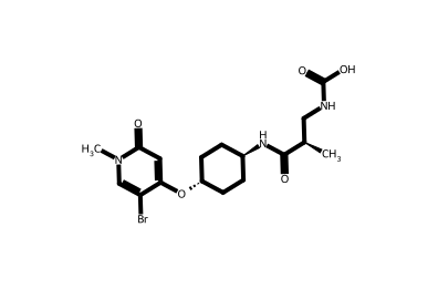 C[C@H](CNC(=O)O)C(=O)N[C@H]1CC[C@H](Oc2cc(=O)n(C)cc2Br)CC1